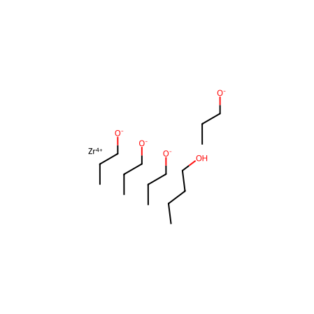 CCCCO.CCC[O-].CCC[O-].CCC[O-].CCC[O-].[Zr+4]